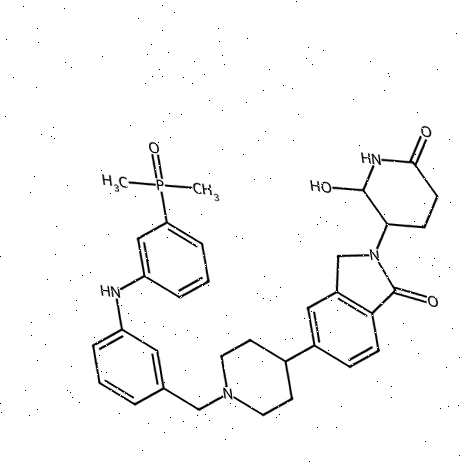 CP(C)(=O)c1cccc(Nc2cccc(CN3CCC(c4ccc5c(c4)CN(C4CCC(=O)NC4O)C5=O)CC3)c2)c1